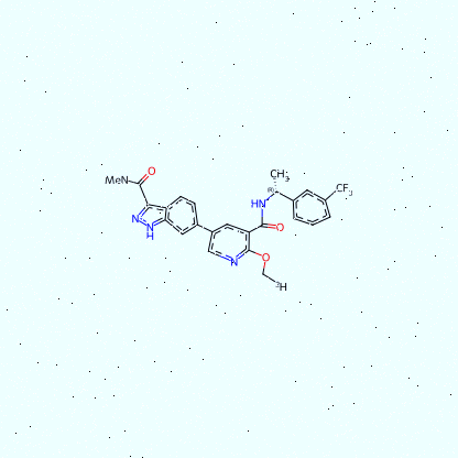 [2H]COc1ncc(-c2ccc3c(C(=O)NC)n[nH]c3c2)cc1C(=O)N[C@H](C)c1cccc(C(F)(F)F)c1